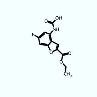 CCOC(=O)c1cc2c(NC(=O)O)cc(F)cc2o1